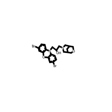 OC(CN1CC2COCC(C2)C1)CN1c2ccc(Br)cc2Oc2cc(Br)ccc21